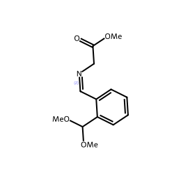 COC(=O)C/N=C\c1ccccc1C(OC)OC